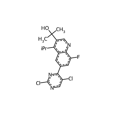 CC(C)c1c(C(C)(C)O)cnc2c(F)cc(-c3nc(Cl)ncc3Cl)cc12